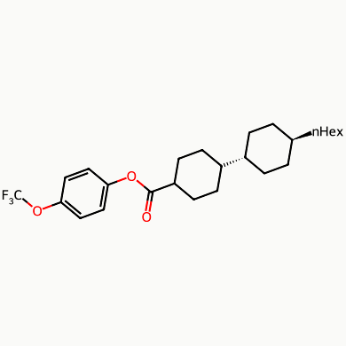 CCCCCC[C@H]1CC[C@H](C2CCC(C(=O)Oc3ccc(OC(F)(F)F)cc3)CC2)CC1